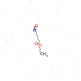 CCCCOC(=O)CCCCCN=C=O